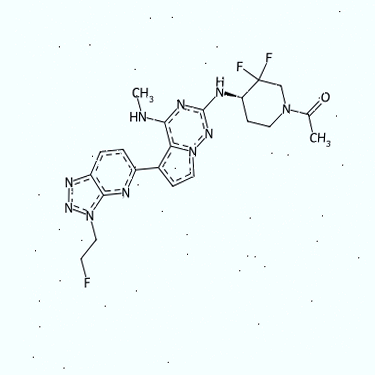 CNc1nc(N[C@@H]2CCN(C(C)=O)CC2(F)F)nn2ccc(-c3ccc4nnn(CCF)c4n3)c12